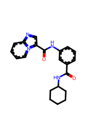 O=C(NC1CCCCC1)c1cccc(NC(=O)c2cnc3ccccn23)c1